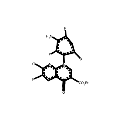 CCOC(=O)c1cn(-c2c(F)cc(F)c(N)c2F)c2nc(Cl)c(F)cc2c1=O